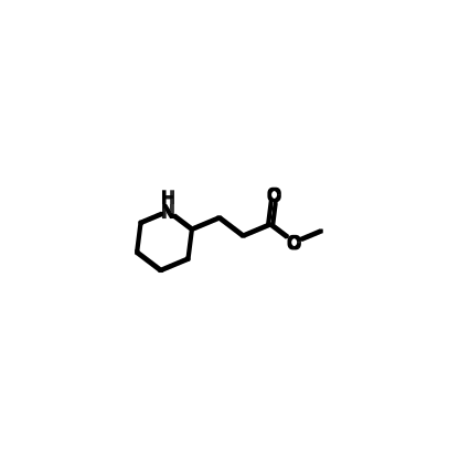 COC(=O)CCC1CCCCN1